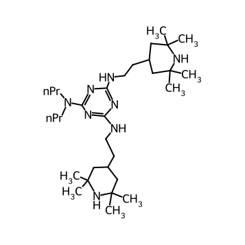 CCCN(CCC)c1nc(NCCC2CC(C)(C)NC(C)(C)C2)nc(NCCC2CC(C)(C)NC(C)(C)C2)n1